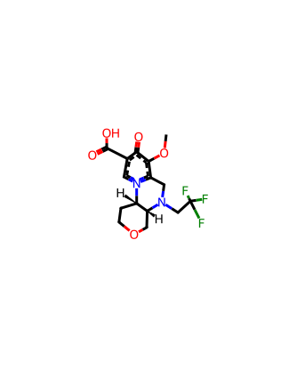 COc1c2n(cc(C(=O)O)c1=O)[C@H]1CCOC[C@H]1N(CC(F)(F)F)C2